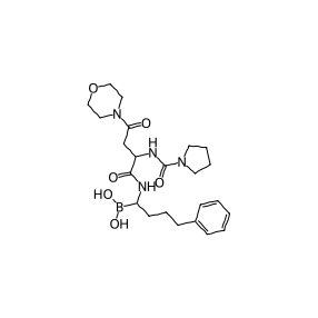 O=C(NC(CCCc1ccccc1)B(O)O)C(CC(=O)N1CCOCC1)NC(=O)N1CCCC1